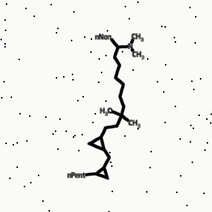 CCCCCCCCCC(CCCCCCC(C)(C)CCC1CC1CC1CC1CCCCC)N(C)C